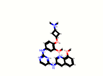 COc1cc(Nc2nccc(Nc3cnc4c(OC)cccc4c3)n2)ccc1OC1CC(N(C)C)C1